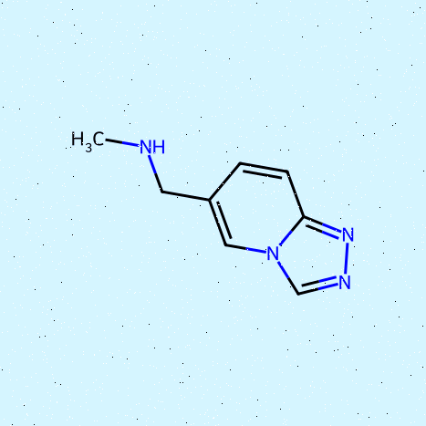 CNCc1ccc2nncn2c1